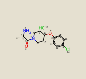 C[C@H](N)C(=O)N1CCC(Oc2ccc(Cl)cc2)CC1.Cl